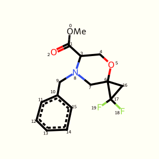 COC(=O)C1COC2(CN1Cc1ccccc1)CC2(F)F